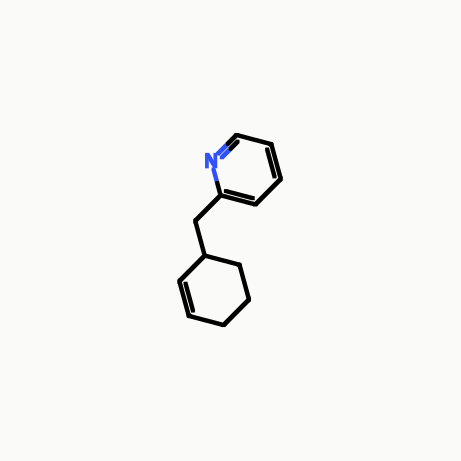 C1=CC(Cc2ccccn2)CCC1